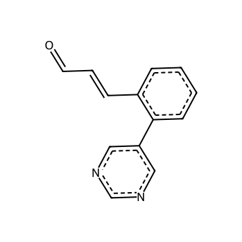 O=CC=Cc1ccccc1-c1cncnc1